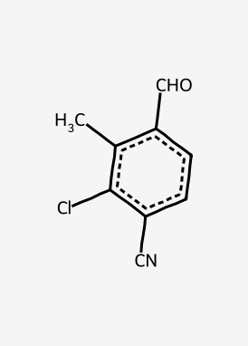 Cc1c(C=O)ccc(C#N)c1Cl